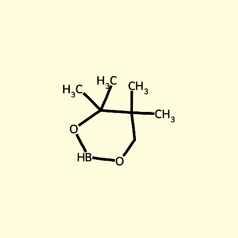 CC1(C)COBOC1(C)C